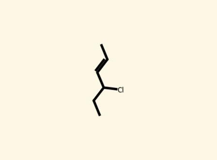 C/C=C/C(Cl)CC